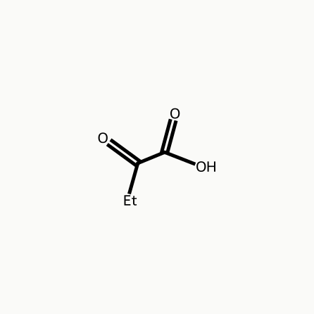 [CH2]CC(=O)C(=O)O